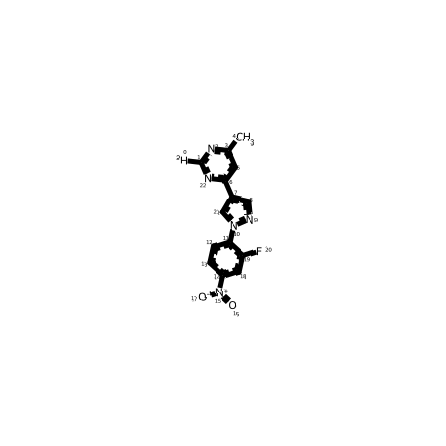 [2H]c1nc(C)cc(-c2cnn(-c3ccc([N+](=O)[O-])cc3F)c2)n1